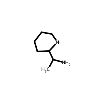 CC(N)C1CCCC[N]1